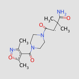 Cc1noc(C)c1C(=O)N1CCN(C(=O)[CH]C(C)(C)C(N)=O)CC1